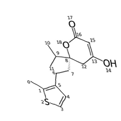 Cc1sccc1CC[C@@]1(C(C)C)CC(O)=CC(=O)O1